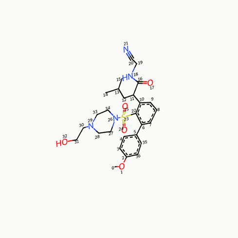 COc1ccc(-c2cccc(C(CC(C)C)C(=O)NCC#N)c2S(=O)(=O)N2CCN(CCO)CC2)cc1